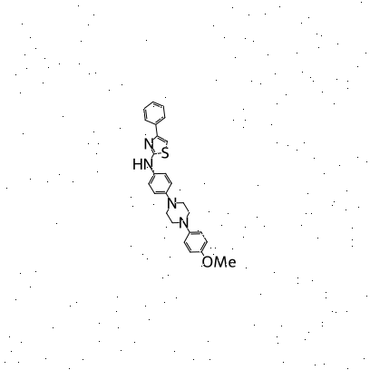 COc1ccc(N2CCN(c3ccc(Nc4nc(-c5ccccc5)cs4)cc3)CC2)cc1